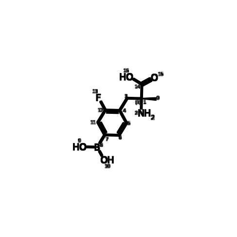 C[C@@](N)(Cc1ccc(B(O)O)cc1F)C(=O)O